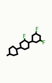 CC1CCC(C2CCC(C3CC(F)CC(F)C3)C(F)C2)CC1